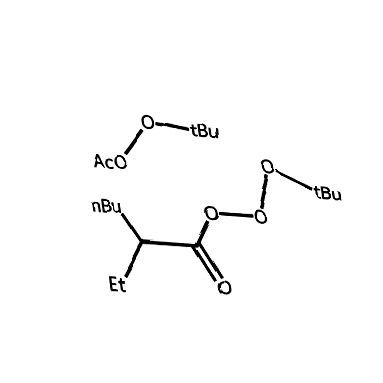 CC(=O)OOC(C)(C)C.CCCCC(CC)C(=O)OOOC(C)(C)C